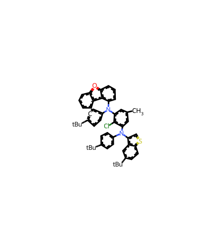 Cc1cc(N(c2ccc(C(C)(C)C)cc2)c2csc3ccc(C(C)(C)C)cc23)c(Cl)c(N(c2ccc(C(C)(C)C)cc2)c2cccc3oc4ccccc4c23)c1